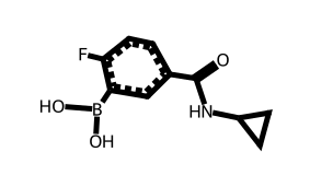 O=C(NC1CC1)c1ccc(F)c(B(O)O)c1